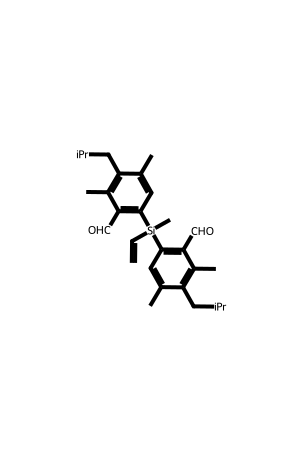 C=C[Si](C)(c1cc(C)c(CC(C)C)c(C)c1C=O)c1cc(C)c(CC(C)C)c(C)c1C=O